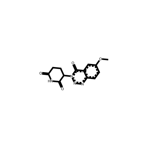 COc1ccc2nnn(C3CCC(=O)NC3=O)c(=O)c2c1